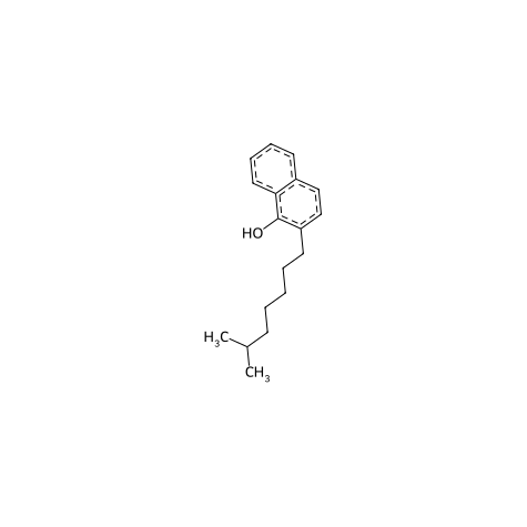 CC(C)CCCCCc1ccc2ccccc2c1O